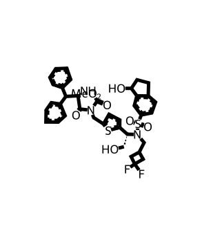 COC(=O)N(Cc1ccc([C@@H](CO)N(CC2CC(F)(F)C2)S(=O)(=O)c2ccc3c(c2)C(O)CC3)s1)C(=O)[C@@H](N)C(c1ccccc1)c1ccccc1